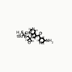 CC(C)(C)[Si](C)(C)OCC1(n2cc(C(=O)c3cncc(N)c3)c3cncnc32)COC1